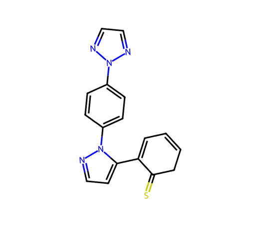 S=C1CC=CC=C1c1ccnn1-c1ccc(-n2nccn2)cc1